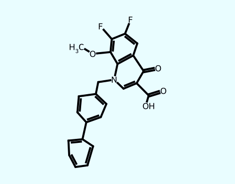 COc1c(F)c(F)cc2c(=O)c(C(=O)O)cn(Cc3ccc(-c4ccccc4)cc3)c12